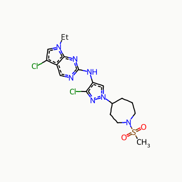 CCn1cc(Cl)c2cnc(Nc3cn(C4CCCN(S(C)(=O)=O)CC4)nc3Cl)nc21